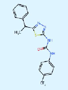 CC(c1ccccc1)c1nnc(NC(=O)Nc2ccc(C(F)(F)F)cc2)s1